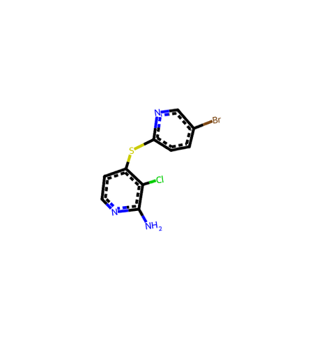 Nc1nccc(Sc2ccc(Br)cn2)c1Cl